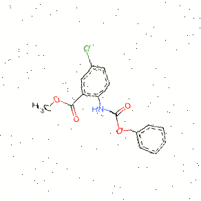 COC(=O)c1cc(Cl)ccc1NC(=O)Oc1ccccc1